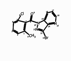 Cc1cccc(Cl)c1C(=O)n1nc(Br)c2ncccc21